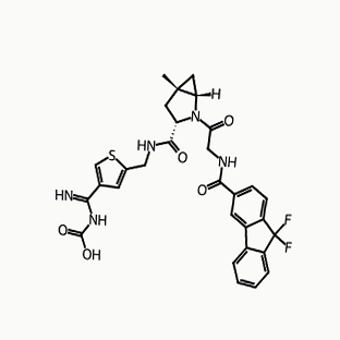 C[C@@]12C[C@@H]1N(C(=O)CNC(=O)c1ccc3c(c1)-c1ccccc1C3(F)F)[C@H](C(=O)NCc1cc(C(=N)NC(=O)O)cs1)C2